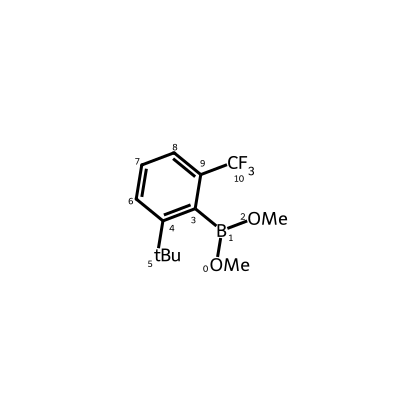 COB(OC)c1c(C(C)(C)C)cccc1C(F)(F)F